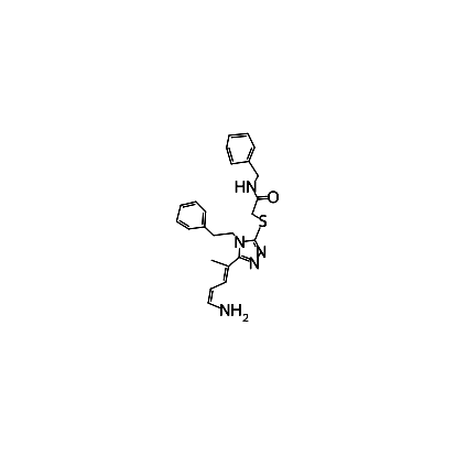 C/C(=C\C=C/N)c1nnc(SCC(=O)NCc2ccccc2)n1CCc1ccccc1